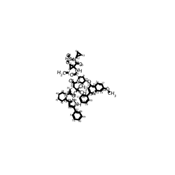 C=C[C@@H]1CC1(NC(=O)[C@@H]1C[C@@H](Oc2cc(-c3ccccc3)nc3cc(OC)ccc23)CN1C(=O)[C@@H](CC(=O)N1CCCCC1c1cc(-c2ccccc2)[nH]n1)C(C)(C)C)C(=O)N(C1CC1)[SH](=O)=O